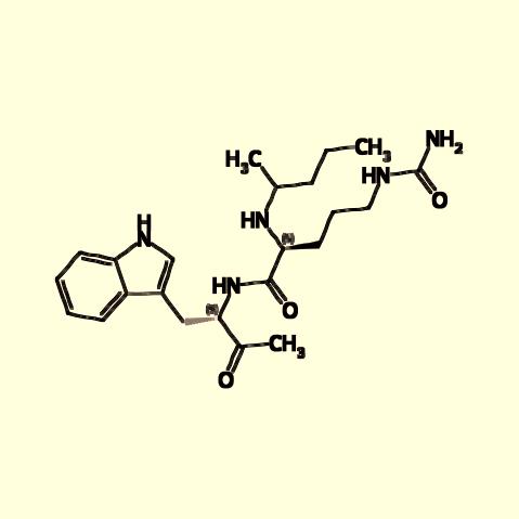 CCCC(C)N[C@@H](CCCNC(N)=O)C(=O)N[C@@H](Cc1c[nH]c2ccccc12)C(C)=O